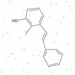 Cc1c(O)cccc1C=Cc1ccccc1